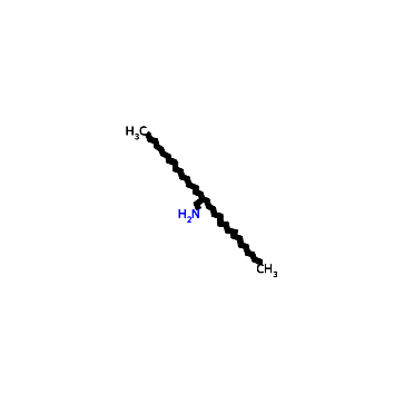 CCCCCCCCC=CCCCCCCCCC(CCN)CCCCCCCCC=CCCCCCCCC